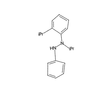 CC(C)c1ccccc1N(Nc1ccccc1)C(C)C